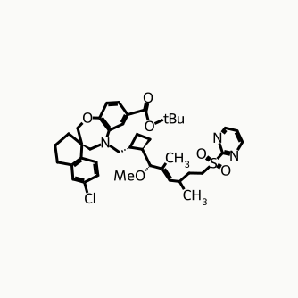 CO[C@@H](/C(C)=C/C(C)CCS(=O)(=O)c1ncccn1)[C@@H]1CC[C@H]1CN1C[C@@]2(CCCc3cc(Cl)ccc32)COc2ccc(C(=O)OC(C)(C)C)cc21